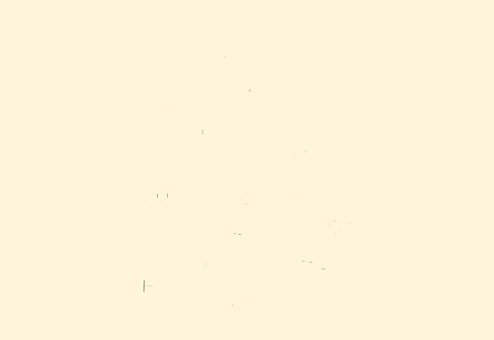 O=C1OC2=C3O[C@@H](C=C13)C2OC(=O)C1CC2C=CC1C2